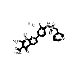 CCn1c(N)c(C(=O)NC)c(=O)c2ccc(-c3ccc(NS(=O)(=O)Cc4cccnc4)c(F)c3)nc21.Cl